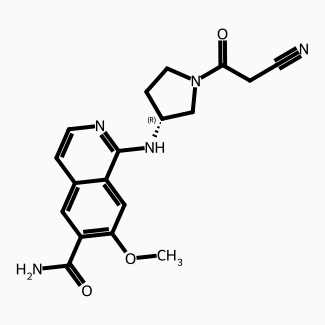 COc1cc2c(N[C@@H]3CCN(C(=O)CC#N)C3)nccc2cc1C(N)=O